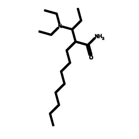 CCCCCCCCC(C(N)=O)C(CC)N(CC)CC